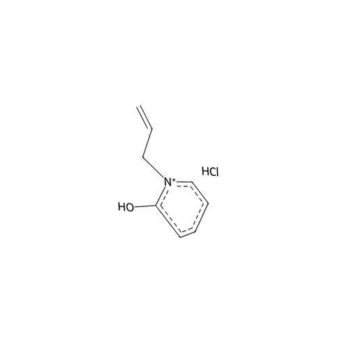 C=CC[n+]1ccccc1O.Cl